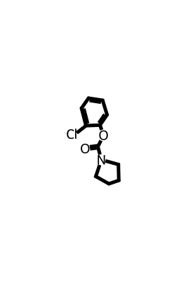 O=C(Oc1ccccc1Cl)N1CCCC1